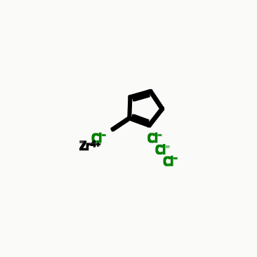 CC1=CCC=C1.[Cl-].[Cl-].[Cl-].[Cl-].[Zr+4]